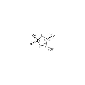 O=S1(=O)C[C@@H](O)[C@H](Br)C1